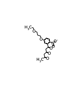 CCOCCCOc1ccc([N+](=O)[O-])c(C(=O)CC(=O)CC(C)=O)c1